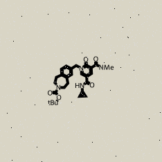 CNC(=O)c1cc(C(=O)NC2CC2)cn(Cc2ccc3c(c2)CCN(C(=O)OC(C)(C)C)CC3)c1=O